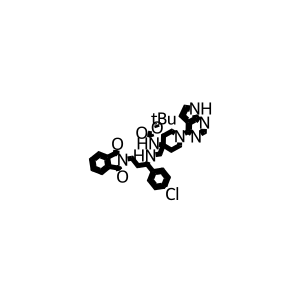 CC(C)(C)OC(=O)NC1(CNC(CCN2C(=O)c3ccccc3C2=O)c2ccc(Cl)cc2)CCN(c2ncnc3[nH]ccc23)CC1